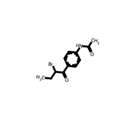 CCC(Br)C(=O)c1ccc(NC(C)=O)cc1